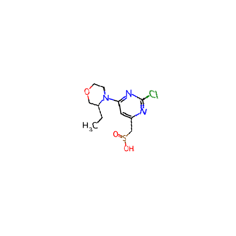 CCC1COCCN1c1cc(CS(=O)O)nc(Cl)n1